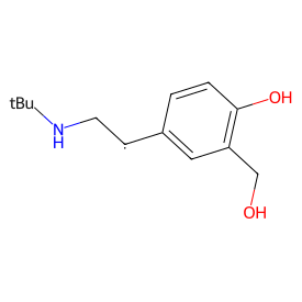 CC(C)(C)NC[CH]c1ccc(O)c(CO)c1